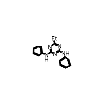 CCc1nc(Nc2ccccc2)nc(Nc2ccccc2)n1